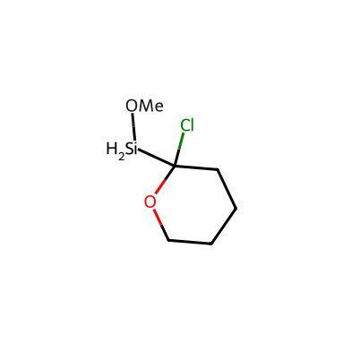 CO[SiH2]C1(Cl)CCCCO1